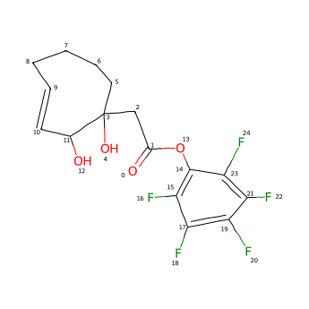 O=C(CC1(O)CCCC/C=C/C1O)Oc1c(F)c(F)c(F)c(F)c1F